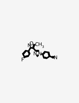 Cc1onc(-c2ccc(F)cc2)c1-c1cn(-c2ccc(C#N)cc2)cn1